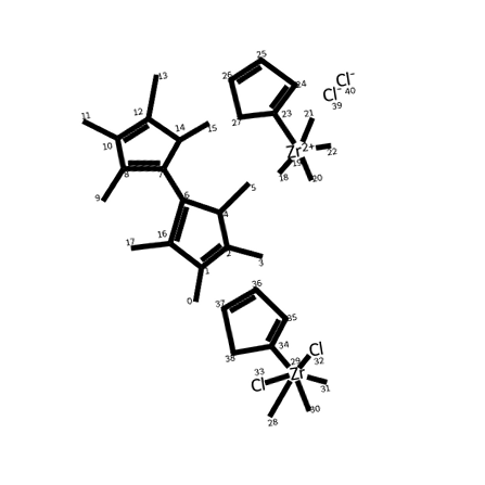 CC1=C(C)C(C)C(C2=C(C)C(C)=C(C)C2C)=C1C.[CH3][Zr+2]([CH3])([CH3])([CH3])[C]1=CC=CC1.[CH3][Zr]([CH3])([CH3])([Cl])([Cl])[C]1=CC=CC1.[Cl-].[Cl-]